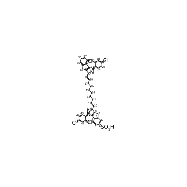 O=S(=O)(O)c1ccc2c(c1)Cc1c(/C=C/CCCCCC/C=C/c3nn(-c4ccc(Cl)cc4Cl)c4c3Cc3ccccc3-4)nn(-c3ccc(Cl)cc3Cl)c1-2